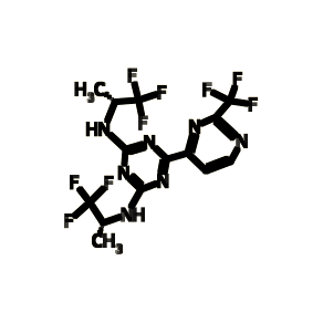 C[C@@H](Nc1nc(N[C@H](C)C(F)(F)F)nc(-c2ccnc(C(F)(F)F)n2)n1)C(F)(F)F